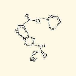 CC(C)(C)OC(=O)Nc1ccn2ncc(C(=O)OCc3ccccc3)c2c1